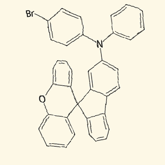 Brc1ccc(N(c2ccccc2)c2ccc3c(c2)C2(c4ccccc4Oc4ccccc42)c2ccccc2-3)cc1